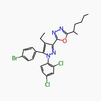 CCCCC(C)c1nnc(-c2nn(-c3ccc(Cl)cc3Cl)c(-c3ccc(Br)cc3)c2CC)o1